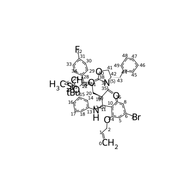 C=CCOc1cc(Br)ccc1[C@@H](Nc1ccccc1)[C@@H](CC[C@H](O[Si](C)(C)C(C)(C)C)c1ccc(F)cc1)C(=O)N1C(=O)OC[C@@H]1Cc1ccccc1